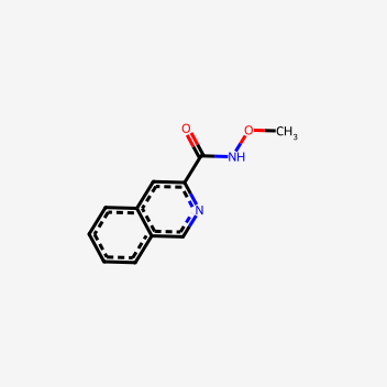 CONC(=O)c1cc2ccccc2cn1